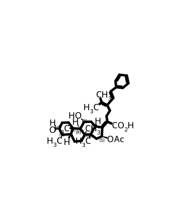 CC(=O)O[C@H]1C[C@@]2(C)[C@H](C[C@@H](O)[C@@H]3[C@@]4(C)CC[C@@H](O)[C@@H](C)[C@H]4CC[C@@]32C)C1=C(CCC(C=Cc1ccccc1)=C(C)C)C(=O)O